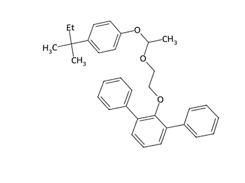 CCC(C)(C)c1ccc(OC(C)OCCOc2c(-c3ccccc3)cccc2-c2ccccc2)cc1